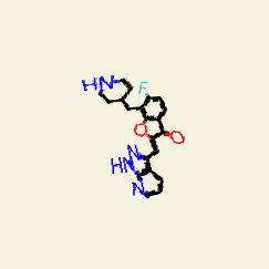 O=C1C(=Cc2n[nH]c3ncccc23)Oc2c1ccc(F)c2CC1CCNCC1